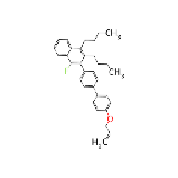 C=CCOc1ccc(-c2ccc(-c3c(CCCC)c(CCCC)c4ccccc4c3F)cc2)cc1